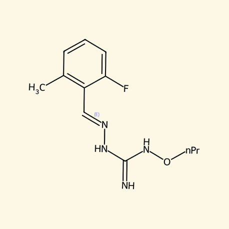 CCCONC(=N)N/N=C/c1c(C)cccc1F